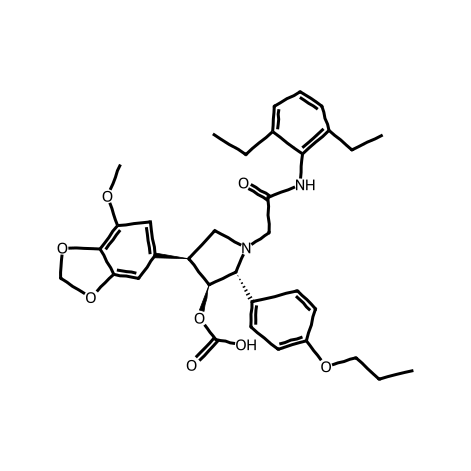 CCCOc1ccc([C@@H]2[C@@H](OC(=O)O)[C@@H](c3cc(OC)c4c(c3)OCO4)CN2CC(=O)Nc2c(CC)cccc2CC)cc1